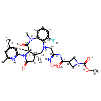 Cc1cc(C(F)(F)F)cc(N2C(=O)C[C@@H]3CN(CC(=NO)NC(=O)C4CN(C(=O)OC(C)(C)C)C4)c4c(F)cccc4N(C)C(=O)[C@H]32)n1